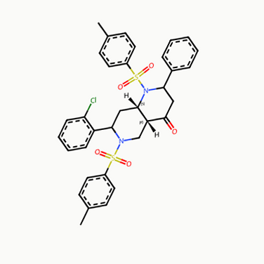 Cc1ccc(S(=O)(=O)N2C[C@H]3C(=O)CC(c4ccccc4)N(S(=O)(=O)c4ccc(C)cc4)[C@H]3CC2c2ccccc2Cl)cc1